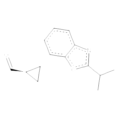 CC(C)c1nc2cccc([C@@H]3C[C@H]3C=O)c2o1